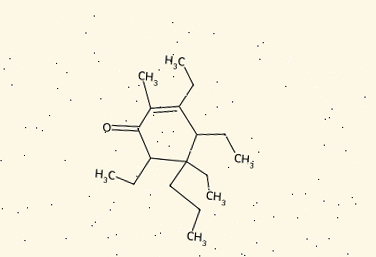 CCCC1(CC)C(CC)C(=O)C(C)=C(CC)C1CC